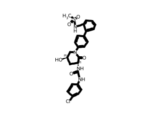 CS(=O)(=O)Nc1ccccc1-c1ccc(N2C[C@H](O)C[C@@H](NC(=O)Nc3ccc(Cl)cc3)C2=O)cc1